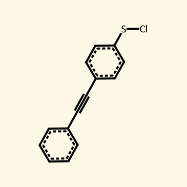 ClSc1ccc(C#Cc2ccccc2)cc1